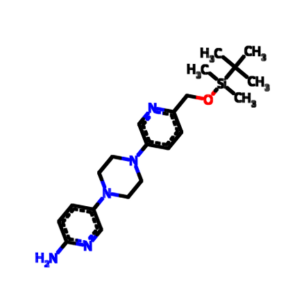 CC(C)(C)[Si](C)(C)OCc1ccc(N2CCN(c3ccc(N)nc3)CC2)cn1